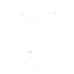 CN(CC(=O)O)C(=O)CCC(=O)Nc1ccccc1Cl